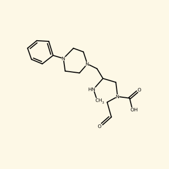 CNC(CN1CCN(c2ccccc2)CC1)CN(CC=O)C(=O)O